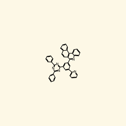 c1ccc(-c2nc(-c3ccccc3)nc(-c3cc(-c4ccccn4)cc(-c4nc5ccccc5c5c4ccc4ccccc45)c3)n2)cc1